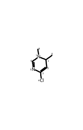 CC1C=C(Cl)N=CN1C